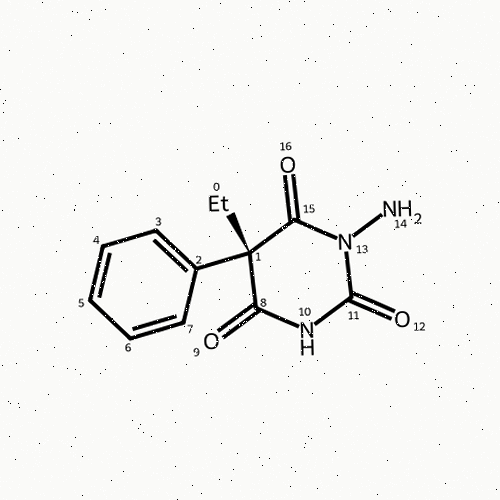 CC[C@]1(c2ccccc2)C(=O)NC(=O)N(N)C1=O